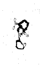 O=[N+]([O-])c1cccc2nn(C3CCCCO3)cc12